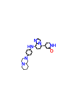 O=c1cc(-c2ccc(Nc3ccc(N4CCN5CCCCC5C4)cc3)c3nccn23)cc[nH]1